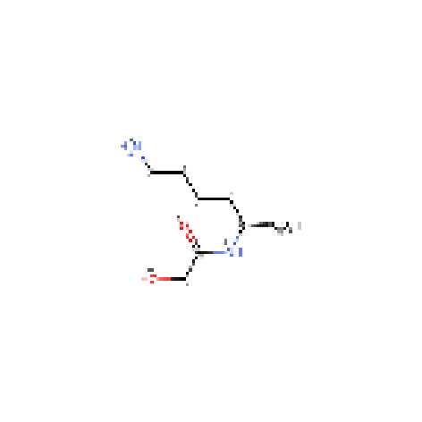 NCCCC[C@H](NC(=O)CO)C(=O)O